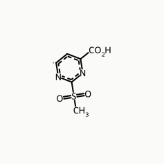 CS(=O)(=O)c1n[c]cc(C(=O)O)n1